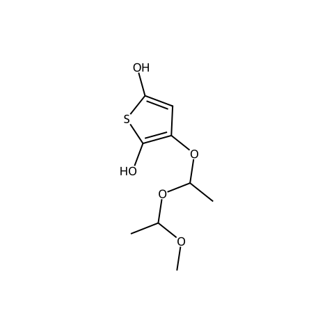 COC(C)OC(C)Oc1cc(O)sc1O